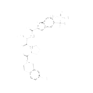 CC(C)(C)C(NC(=O)c1cc2cc(C(F)(F)P(=O)(O)O)ccc2s1)C(=O)N1CCC[C@H]1C(=O)N1CCc2ccc(Cl)cc2C1